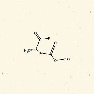 C[C@@H](NC(=O)OC(C)(C)C)C(=O)F